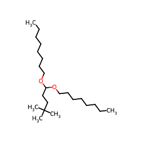 CCCCCCCCOC(CCC(C)(C)C)OCCCCCCCC